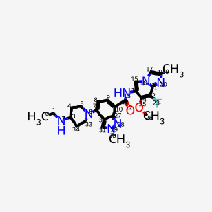 CCNC1CCN(c2ccc(C(=O)Nc3cn4cc(C)nc4c(F)c3OC)c3nn(C)cc23)CC1